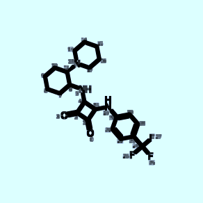 O=C1C(=O)C(NC2CCCC[C@H]2N2CCCCC2)C1Nc1ccc(C(F)(F)F)cc1